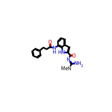 CNC(N)=NC(=O)c1cc2cccc(NC(=O)CCc3ccccc3)c2[nH]1